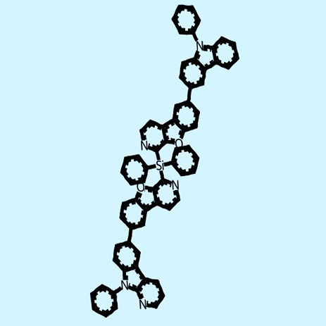 c1ccc(-n2c3ccccc3c3cc(-c4ccc5oc6c([Si](c7ccccc7)(c7ccccc7)c7nccc8c7oc7ccc(-c9ccc%10c(c9)c9cccnc9n%10-c9ccccc9)cc78)nccc6c5c4)ccc32)cc1